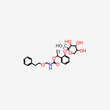 CCC(OC(=O)NCOCCc1ccccc1)c1ccccc1OC1(C(=O)O)OCC(O)C(O)C1O